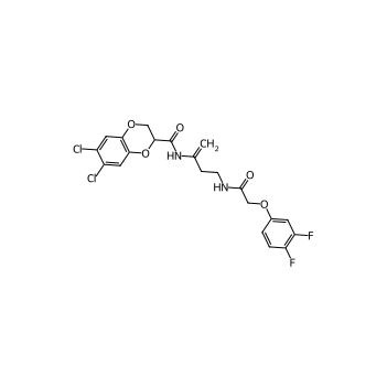 C=C(CCNC(=O)COc1ccc(F)c(F)c1)NC(=O)C1COc2cc(Cl)c(Cl)cc2O1